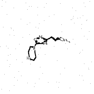 CCCc1noc(N2CCNCC2)n1